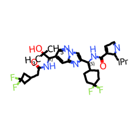 CC(C)C1N=CC=C1C(=O)N[C@H](c1cn2ncc([C@@H](NC(=O)CC3CC(F)(F)C3)C(C)(C)O)cc2n1)C1CCC(F)(F)CC1